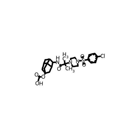 CC(C)(C(=O)NC1C2CC3CC1CC(OC(=O)O)(C3)C2)N1CCN(S(=O)(=O)c2ccc(Cl)cc2)CC1